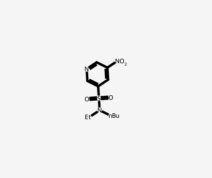 CCCCN(CC)S(=O)(=O)c1cncc([N+](=O)[O-])c1